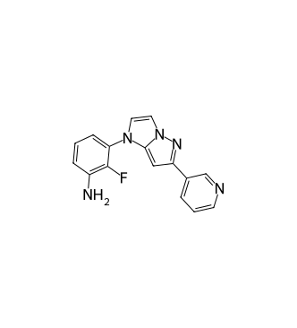 Nc1cccc(-n2ccn3nc(-c4cccnc4)cc23)c1F